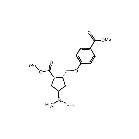 COC(=O)c1ccc(OC[C@@H]2C[C@@H](N(C)C)CN2C(=O)OC(C)(C)C)cc1